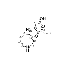 CCOC(=O)C(CC(=O)O)NC1=C/C/C=N\NC/C=C\1